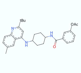 CC(=O)Oc1cccc(C(=O)NC2CCC(Nc3cc(C(C)(C)C)nc4ccc(C)cc34)CC2)c1